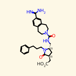 N=C(N)c1ccc2c(c1)CCN(C(=O)NC[C@@H]1C[C@@H](CC(=O)O)C(=O)N1CCCc1ccccc1)CC2